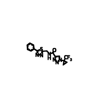 O=C(NCc1nnc(-c2ccccc2)s1)c1cn(C2(C(F)(F)F)CC2)nn1